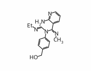 CC/N=C/N(C(=NC)c1cccnc1N)c1ccc(CO)cc1